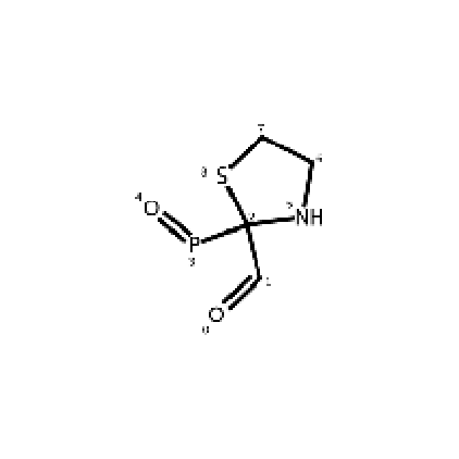 O=CC1(P=O)NCCS1